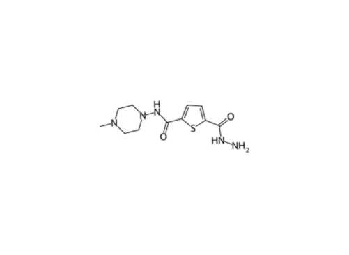 CN1CCN(NC(=O)c2ccc(C(=O)NN)s2)CC1